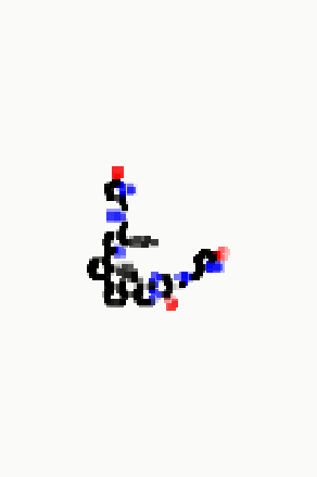 COc1nc(-c2cccc(-c3cccc(-c4ccn5c(=O)c(CNCC6CCC(=O)N6)cnc5c4)c3C)c2C)ccc1CNCC1CCC(=O)N1